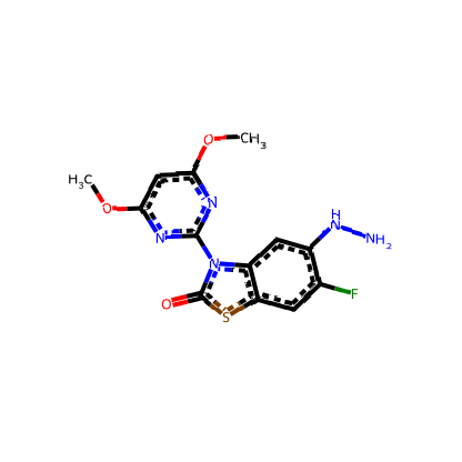 COc1cc(OC)nc(-n2c(=O)sc3cc(F)c(NN)cc32)n1